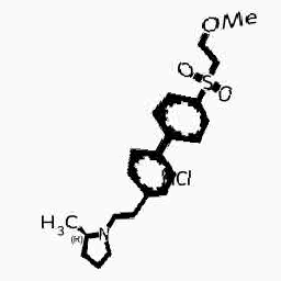 COCCS(=O)(=O)c1ccc(-c2ccc(CCN3CCC[C@H]3C)cc2)cc1.Cl